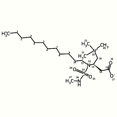 CCCCCCCCCCCCN([C@H](CC(=O)[O-])C[N+](C)(C)C)S(=O)(=O)NC